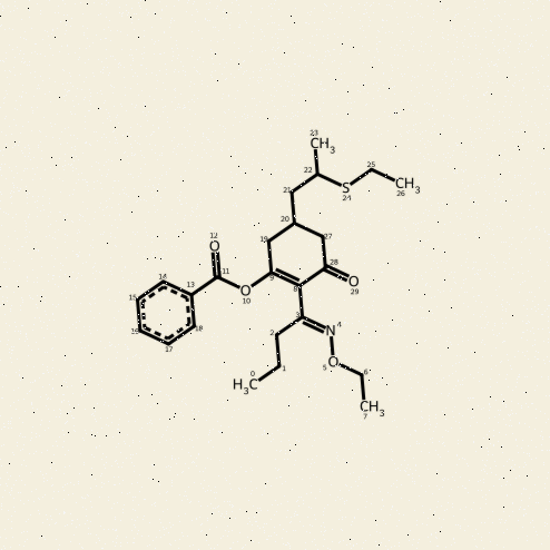 CCCC(=NOCC)C1=C(OC(=O)c2ccccc2)CC(CC(C)SCC)CC1=O